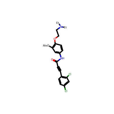 CCN(CC)CCOc1ccc(NC(=O)C#Cc2ccc(Cl)cc2Cl)cc1OC